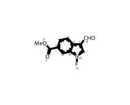 COC(=O)c1ccc2c(C=O)cn(F)c2c1